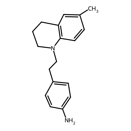 Cc1ccc2c(c1)CCCN2CCc1ccc(N)cc1